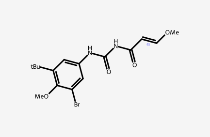 CO/C=C/C(=O)NC(=O)Nc1cc(Br)c(OC)c(C(C)(C)C)c1